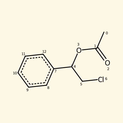 CC(=O)O[C](CCl)c1ccccc1